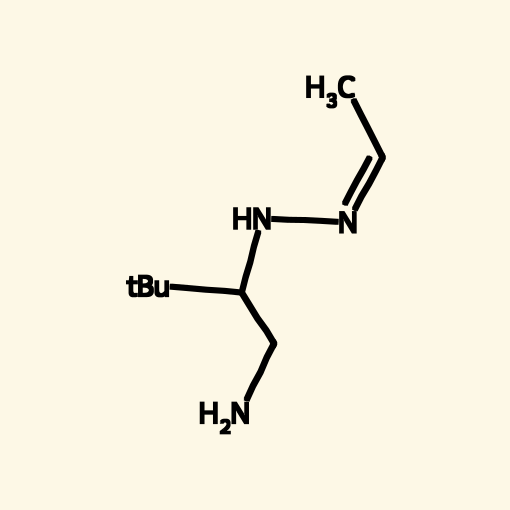 C/C=N\NC(CN)C(C)(C)C